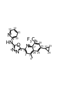 Cc1cc(-c2nnc(Nc3ccccn3)o2)nc2c(C(F)(F)F)cc(C3CC3)cc12